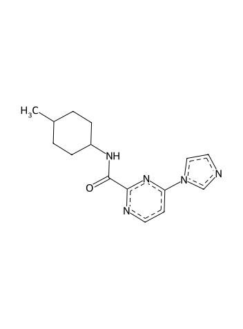 CC1CCC(NC(=O)c2nccc(-n3ccnc3)n2)CC1